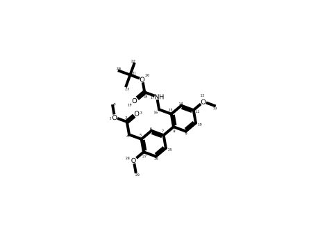 COC(=O)Cc1cc(-c2ccc(OC)cc2CNC(=O)OC(C)(C)C)ccc1OC